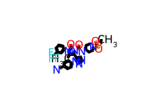 CCS(=O)(=O)N1CCC(NC(=O)n2c(-c3ccnn3-c3ccc(C#N)cc3)c(C)n(-c3cccc(C(F)(F)F)c3)c2=O)CC1